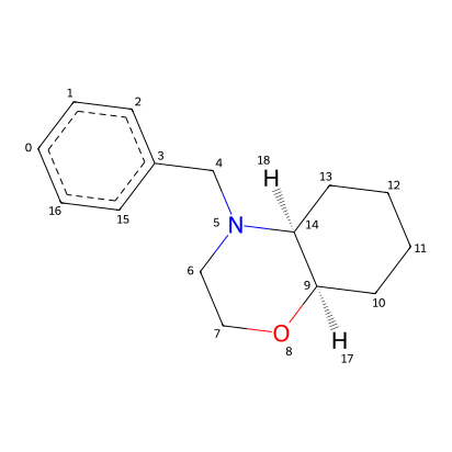 c1ccc(CN2CCO[C@@H]3CCCC[C@@H]32)cc1